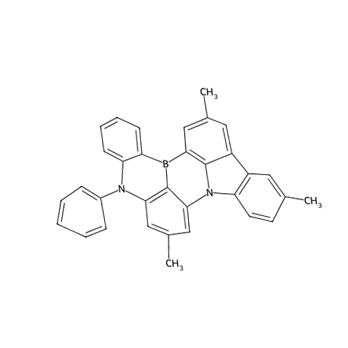 Cc1cc2c3c(c1)-n1c4ccc(C)cc4c4cc(C)cc(c41)B3c1ccccc1N2c1ccccc1